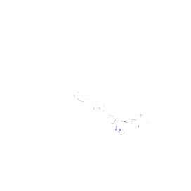 O=C(NCCCC1C=CN=CCC1)c1ccc(-n2cccn2)c(C#Cc2cccc(C(F)(F)F)c2)c1